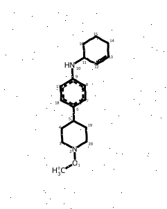 CON1CCC(c2ccc(NC3C=CCCC3)cc2)CC1